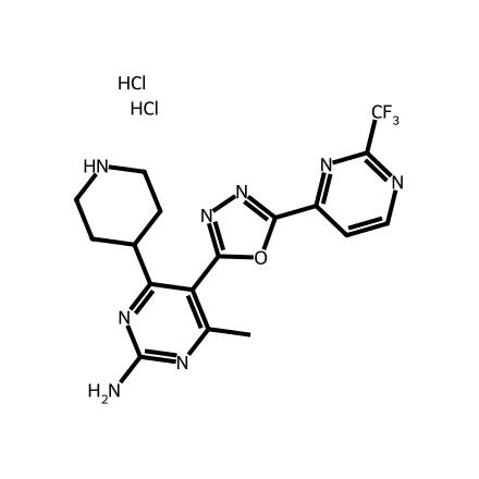 Cc1nc(N)nc(C2CCNCC2)c1-c1nnc(-c2ccnc(C(F)(F)F)n2)o1.Cl.Cl